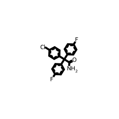 NC(=O)C(c1ccc(F)cc1)(c1ccc(F)cc1)c1ccc(Cl)cc1